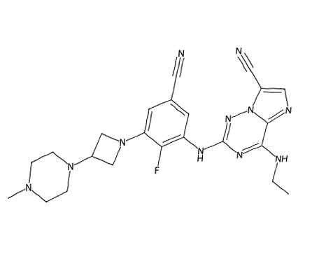 CCNc1nc(Nc2cc(C#N)cc(N3CC(N4CCN(C)CC4)C3)c2F)nn2c(C#N)cnc12